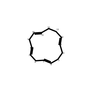 [C]1=C/CC/C=C/C/C=C/C/C=C/CC/1